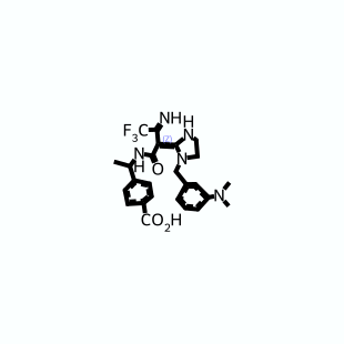 CC(NC(=O)/C(C(=N)C(F)(F)F)=C1/NCCN1Cc1cccc(N(C)C)c1)c1ccc(C(=O)O)cc1